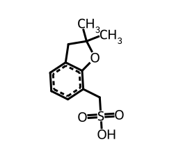 CC1(C)Cc2cccc(CS(=O)(=O)O)c2O1